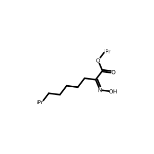 CC(C)CCCCCC(=NO)C(=O)OC(C)C